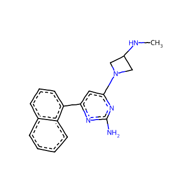 CNC1CN(c2cc(-c3cccc4ccccc34)nc(N)n2)C1